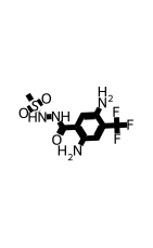 CS(=O)(=O)NNC(=O)c1cc(N)c(C(F)(F)F)cc1N